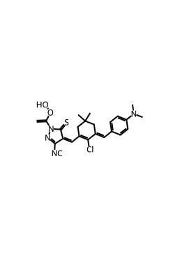 [C-]#[N+]C1=NN(C(=C)OO)C(=S)/C1=C\C1=C(Cl)C(=C/c2ccc(N(C)C)cc2)/CC(C)(C)C1